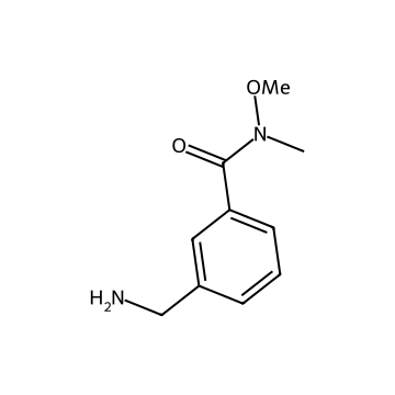 CON(C)C(=O)c1cccc(CN)c1